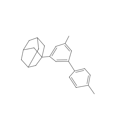 Cc1ccc(-c2cc(C)cc(C34CC5CC(CC(C5)C3)C4)c2)cc1